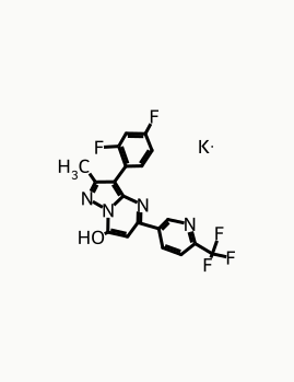 Cc1nn2c(O)cc(-c3ccc(C(F)(F)F)nc3)nc2c1-c1ccc(F)cc1F.[K]